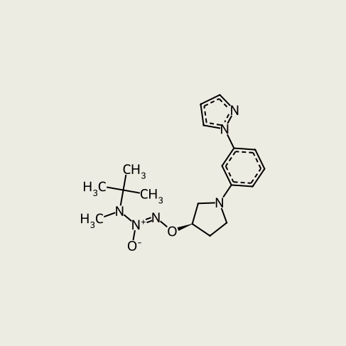 CN(/[N+]([O-])=N/O[C@@H]1CCN(c2cccc(-n3cccn3)c2)C1)C(C)(C)C